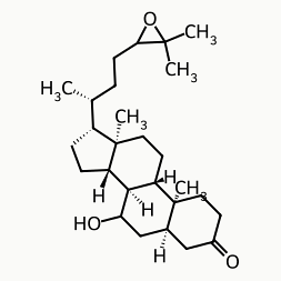 C[C@H](CCC1OC1(C)C)[C@H]1CC[C@H]2[C@@H]3C(O)C[C@@H]4CC(=O)CC[C@]4(C)[C@H]3CC[C@]12C